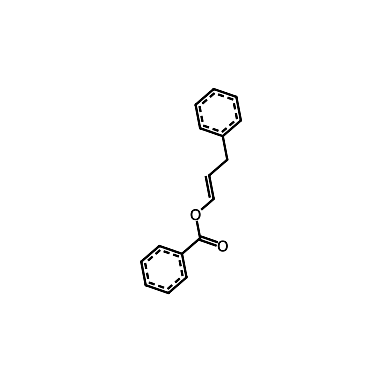 O=C(OC=CCc1ccccc1)c1ccccc1